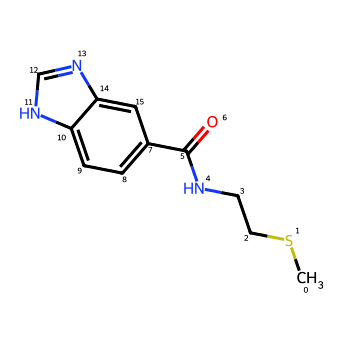 CSCCNC(=O)c1ccc2[nH]cnc2c1